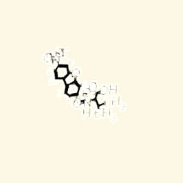 CC(C)C(NS(=O)(=O)c1ccc2c(c1)oc1cc([N+](=O)[O-])ccc12)C(=O)O